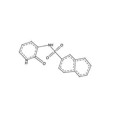 O=c1[nH]cc[c]c1NS(=O)(=O)c1ccc2ccccc2c1